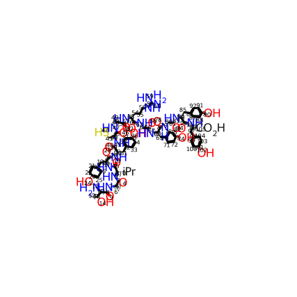 CC(C)[C@H](NC(=O)[C@H](C)NC(=O)[C@@H](N)[C@@H](C)O)C(=O)N[C@@H](Cc1ccc(O)cc1)C(=O)N[C@@H](Cc1ccc(O)cc1)C(=O)N[C@@H](CS)C(=O)N[C@@H](C)C(=O)N[C@@H](CCCNC(=N)N)C(=O)NCC(=O)N[C@@H](Cc1ccc(O)cc1)C(=O)NCC(=O)N[C@@H](Cc1ccc(O)cc1)C(=O)N[C@@H](Cc1ccc(O)cc1)C(=O)O